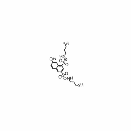 O=S(=O)(ONCCCS)c1cc(S(=O)(=O)ONCCCS)c2cc(O)ccc2c1